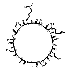 C/C=C/C[C@@H](C)[C@@H](O)[C@H]1C(=O)N[C@H](CC)C(=O)N(C)[C@H](COCCN(CC)CC)C(=O)N(C)[C@@H](CC(C)C)C(=O)N[C@H](C(C)C)C(=O)N(C)[C@H](CC(C)C)C(=O)N[C@H](C)C(=O)N[C@@H](C)C(=O)N(C)[C@@H](CC(C)C)C(=O)N(C)[C@H](CCC(C)C)C(=O)N(C)[C@H](C(C)C)C(=O)N1C